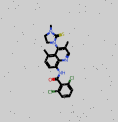 Cc1cnc2c(NC(=O)c3c(Cl)cccc3Cl)ccc(C)c2c1N1CCN(C)C1=S